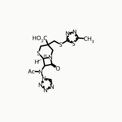 CC(=O)N(C1C(=O)N2CC(CSc3nnc(C)s3)(C(=O)O)CS[C@H]12)n1cnnn1